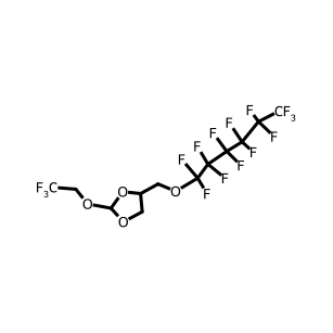 FC(F)(F)COC1OCC(COC(F)(F)C(F)(F)C(F)(F)C(F)(F)C(F)(F)C(F)(F)F)O1